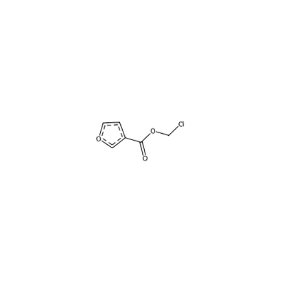 O=C(OCCl)c1ccoc1